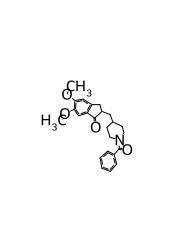 COc1cc2c(cc1OC)C(=O)C(CC1CCN(C(=O)c3ccccc3)CC1)C2